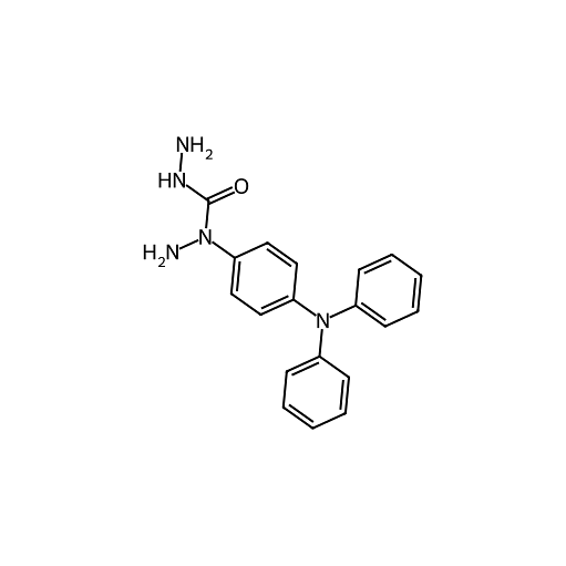 NNC(=O)N(N)c1ccc(N(c2ccccc2)c2ccccc2)cc1